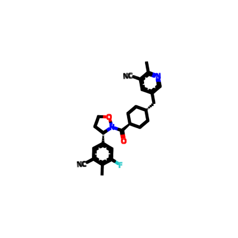 Cc1ncc(C[C@H]2CC[C@H](C(=O)N3OCC[C@H]3c3cc(F)c(C)c(C#N)c3)CC2)cc1C#N